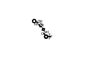 O=C(N[C@H]1C[C@@H](c2cc(NC(=O)C3CCCCC3)[nH]n2)C1)c1cccc(C(F)(F)F)c1